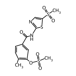 Cc1ccc(C(=O)Nc2ncc(S(C)(=O)=O)s2)cc1OS(C)(=O)=O